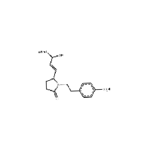 CCCCCC(O)C=CC1CCC(=O)N1CCc1ccc(C(=O)O)cc1